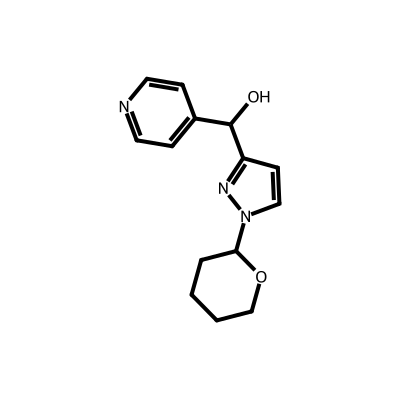 OC(c1ccncc1)c1ccn(C2CCCCO2)n1